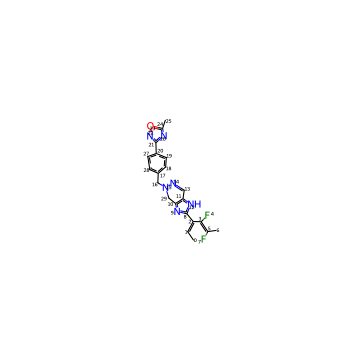 CC=C(C(F)=C(C)F)c1nc2c([nH]1)C=NN(Cc1ccc(-c3noc(C)n3)cc1)C2